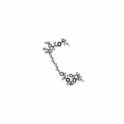 COc1cc(C(=O)NC2CCN(CCOCCOCCOCCOCC(=O)N[C@H](C(=O)N3CC(O)CC3C(=O)NCc3ccc(-c4scnc4C)cc3)C(C)(C)C)CC2)c(F)cc1Nc1ncc2c(n1)N(C1CCCC1)CC(F)(F)C(=O)N2C